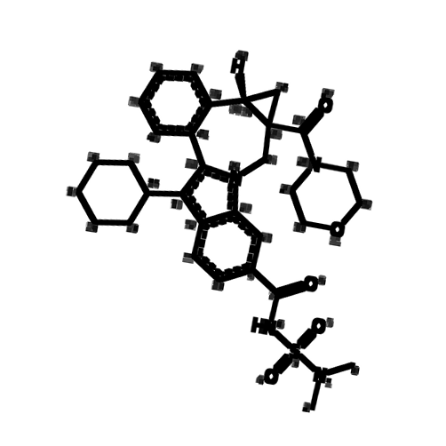 CN(C)S(=O)(=O)NC(=O)c1ccc2c(C3CCCCC3)c3n(c2c1)CC1(C(=O)N2CCOCC2)C[C@H]1c1ccccc1-3